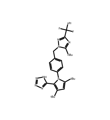 CCCCc1nc(C(F)(F)CCC)nn1Cc1ccc(-n2c(C(C)(C)C)cc(C(C)(C)C)c2-c2nnn[nH]2)cc1